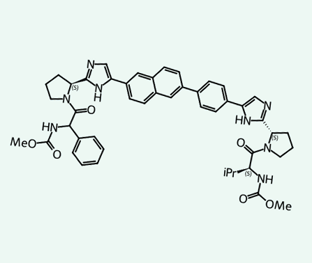 COC(=O)NC(C(=O)N1CCC[C@H]1c1ncc(-c2ccc3cc(-c4ccc(-c5cnc([C@@H]6CCCN6C(=O)[C@@H](NC(=O)OC)C(C)C)[nH]5)cc4)ccc3c2)[nH]1)c1ccccc1